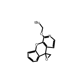 CC(C)(C)COc1nccc2c1Oc1ccccc1C21CO1